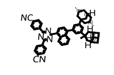 C[C@@H]1C[C@@H]2C[C@H](C)CC(c3cc(-c4ccc(-c5nc(-c6ccc(C#N)cc6)nc(-c6ccc(C#N)cc6)n5)c5ccccc45)cc(C4(C)C[C@H]5CC6C[C@@H](C4)[C@H]65)c3)(C1)C2